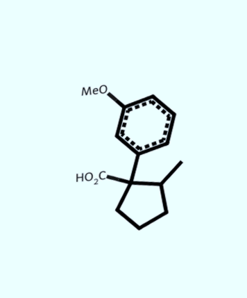 COc1cccc(C2(C(=O)O)CCCC2C)c1